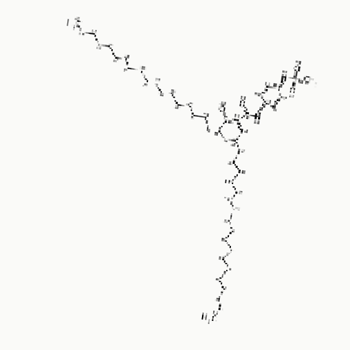 CCCCCCCCCCCCCCCCCCC1=CC(CCCCCCCCCCCCCCCCCC)C(=O)C(C(=O)N=C2C=CC(=NS(C)(=O)=O)C=C2)=C1